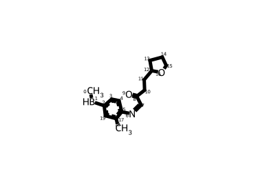 CBc1ccc(/N=C\C(=O)CCC2CCCO2)c(C)c1